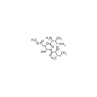 CC[C@H](C)[C@H](N)C(=O)OC(C=O)C(CC(=O)OC)OC(=O)[C@@H](N)[C@@H](C)CC